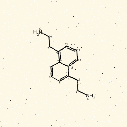 NCCc1cccc2c(CCN)cccc12